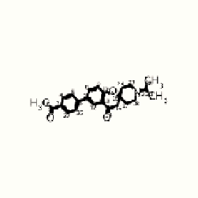 CC(=O)c1ccc(-c2ccc3c(c2)C(=O)CC2(CCN(C(C)C)CC2)O3)cc1